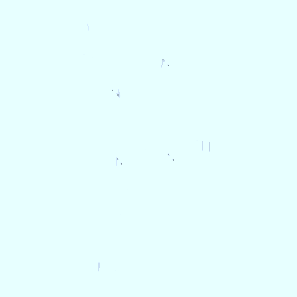 CCOc1cncc(-c2nc3cc(C(F)(F)F)ccc3n2C)n1